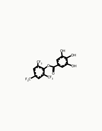 O=C(Oc1c(C(F)(F)F)cc(C(F)(F)F)cc1C(F)(F)F)c1cc(O)c(O)c(O)c1